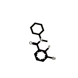 CN(C(=O)c1cccc(Br)c1F)C1CCCCC1